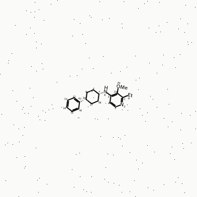 CCc1nccc(N[C@H]2CC[C@@H](c3ccccc3)CC2)c1OC